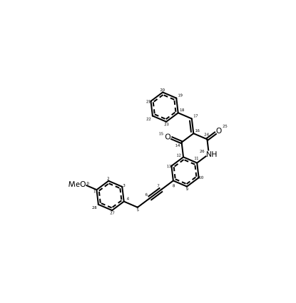 COc1ccc(CC#Cc2ccc3c(c2)C(=O)/C(=C\c2ccccc2)C(=O)N3)cc1